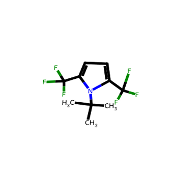 CC(C)(C)n1c(C(F)(F)F)ccc1C(F)(F)F